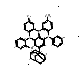 Cc1ccc2c(c1)B1c3cc(C)ccc3N(c3ccccc3C)c3cc(C45CC6CC(CC(C6)C4)C5)cc(c31)N2c1ccccc1